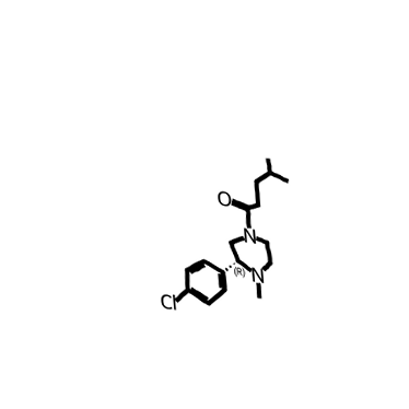 CC(C)CCC(=O)N1CCN(C)[C@H](c2ccc(Cl)cc2)C1